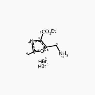 Br.Br.CCOC(=O)c1nc(C)oc1CN